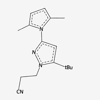 Cc1ccc(C)n1-c1cc(C(C)(C)C)n(CCC#N)n1